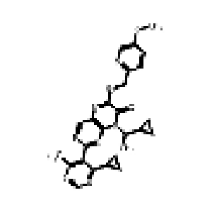 CSc1ccc(CNc2nc3cnc(-c4c(C)ncnc4C4CC4)nc3n(C(C)C3CC3)c2=O)nc1